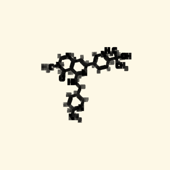 Cn1cnc2cc(-c3ccc(C(C)(C)O)nc3)nc(NCc3ccc(N)nc3)c2c1=O